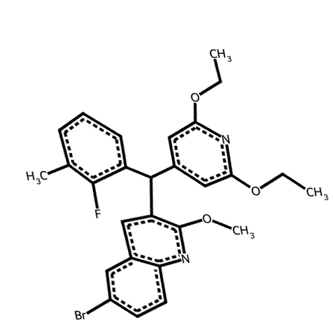 CCOc1cc(C(c2cc3cc(Br)ccc3nc2OC)c2cccc(C)c2F)cc(OCC)n1